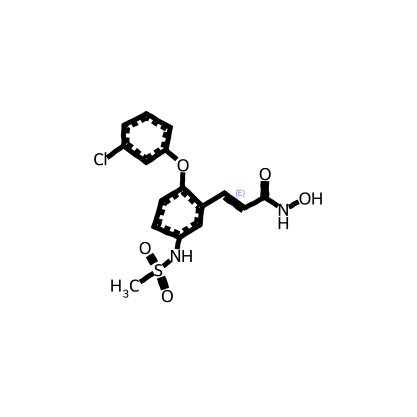 CS(=O)(=O)Nc1ccc(Oc2cccc(Cl)c2)c(/C=C/C(=O)NO)c1